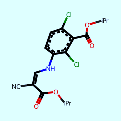 CC(C)OC(=O)C(C#N)=CNc1ccc(Cl)c(C(=O)OC(C)C)c1Cl